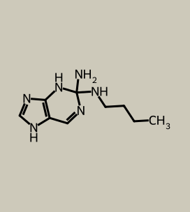 CCCCNC1(N)N=Cc2[nH]cnc2N1